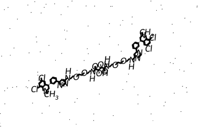 CN1Cc2c(Cl)cc(Cl)cc2[C@H](c2cccc(-c3cc(NCCOCCOCCNC(=O)[C@H](O)[C@@H](O)C(=O)NCCOCCOCCNc4cc(-c5cccc([C@@H]6CN(C)Cc7c(Cl)cc(Cl)cc76)c5)ncn4)ncn3)c2)C1